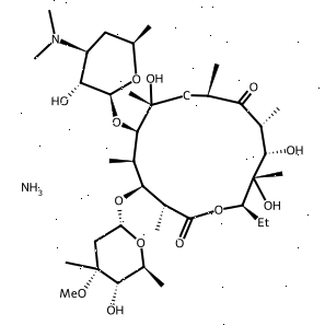 CC[C@H]1OC(=O)[C@H](C)[C@@H](O[C@H]2C[C@@](C)(OC)[C@@H](O)[C@H](C)O2)[C@@H](C)[C@@H](O[C@@H]2O[C@H](C)C[C@H](N(C)C)[C@H]2O)[C@](C)(O)C[C@@H](C)C(=O)[C@H](C)[C@H](O)[C@]1(C)O.N